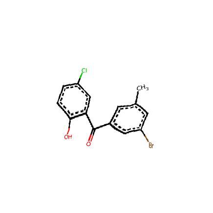 Cc1cc(Br)cc(C(=O)c2cc(Cl)ccc2O)c1